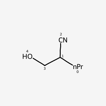 CCCC(C#N)CO